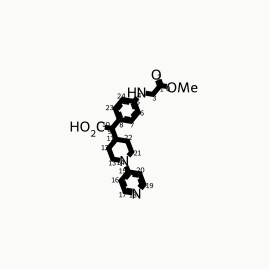 COC(=O)CNc1ccc(C(C(=O)O)C2CCN(c3ccncc3)CC2)cc1